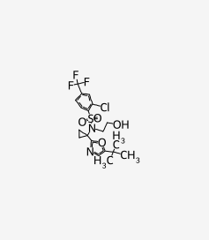 CC(C)(C)c1cnc(C2(N(CCO)S(=O)(=O)c3ccc(C(F)(F)F)cc3Cl)CC2)o1